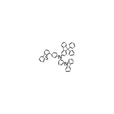 c1ccc(C2(c3ccccc3)c3ccccc3-c3cc(N(c4ccc(-c5cccc6c5sc5ccccc56)cc4)c4cccc(-n5c6ccccc6c6ccccc65)c4)ccc32)cc1